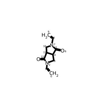 C=CN1CC2C(=O)N(C=C)CC2C1=O